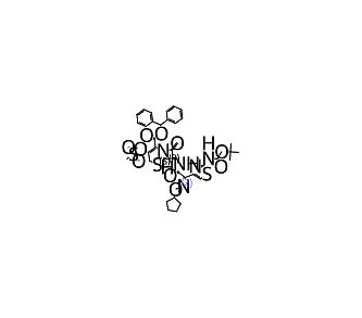 CC(C)(C)OC(=O)Nc1nc(/C(=N/OC2CCCC2)C(=O)N[C@@H]2C(=O)N3C(C(=O)OC(c4ccccc4)c4ccccc4)=C(OS(C)(=O)=O)CS[C@@H]23)cs1